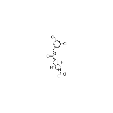 O=C(Cl)N1C[C@@H]2CN(C(=O)OCc3cc(Cl)cc(Cl)c3)C[C@@H]2C1